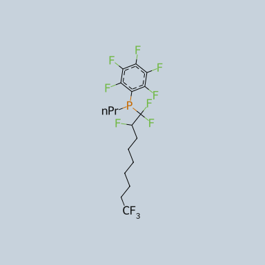 CCCP(c1c(F)c(F)c(F)c(F)c1F)C(F)(F)C(F)CCCCCCC(F)(F)F